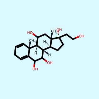 C[C@]12C=CCC=C1C(O)C(O)[C@@H]1[C@@H]2C(O)C[C@@]2(C)[C@H]1CC[C@]2(O)CCO